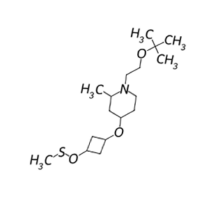 CSOC1CC(OC2CCN(CCOC(C)(C)C)C(C)C2)C1